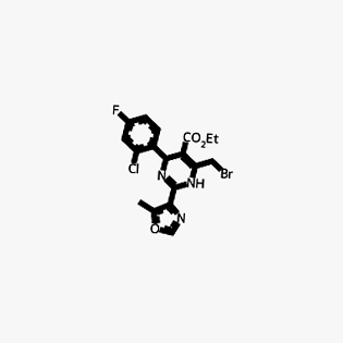 CCOC(=O)C1=C(CBr)NC(c2ncoc2C)=NC1c1ccc(F)cc1Cl